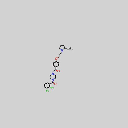 C[C@@H]1CCCN1CCCOc1ccc(C(=O)CN2CCN(C(=O)c3cccc(Cl)c3Cl)CC2)cc1